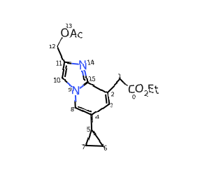 CCOC(=O)Cc1cc(C2CC2)cn2cc(COC(C)=O)nc12